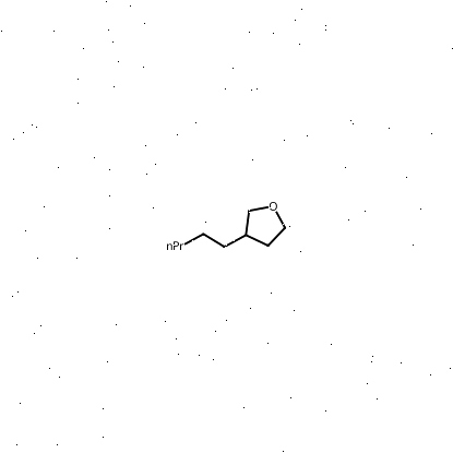 CCCCCC1CCOC1